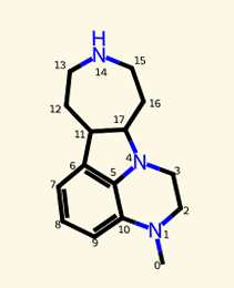 CN1CCN2c3c(cccc31)C1CCNCCC12